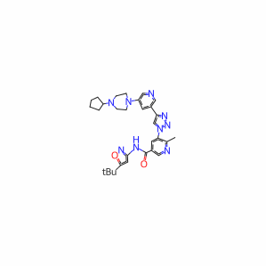 Cc1ncc(C(=O)Nc2cc(C(C)(C)C)on2)cc1-n1cc(-c2cncc(N3CCN(C4CCCC4)CC3)c2)nn1